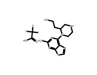 Nc1nc(N2CCNCC2CCO)c2ncsc2n1.O=C(O)C(F)(F)F